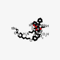 CC(C)(C)OC(=O)N1CCC(CCCCOc2ccc(CC(NC(=O)C(C(=O)CN)(C(CCCN)C(=O)CN)N(C(=O)OC(C)(C)C)C(=O)C(CS)NC(c3ccccc3)(c3ccccc3)c3ccccc3)C(=O)O)cc2)CC1